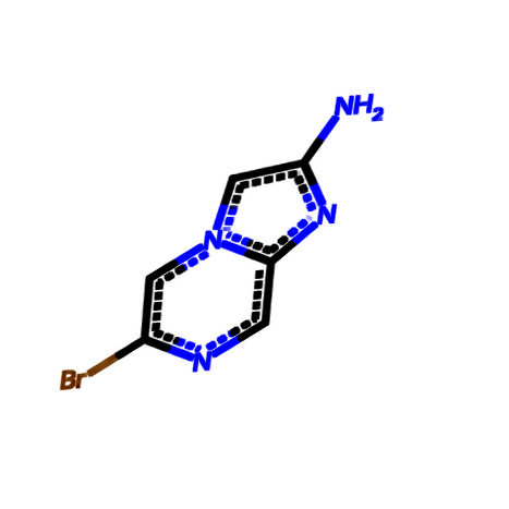 Nc1cn2cc(Br)ncc2n1